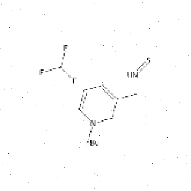 CCCCN1C=CC=C(C)C1.FC(F)F.N=S